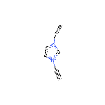 C#Cn1cc[n+](C#C)c1